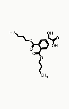 CCCCOC(=O)c1ccccc1C(=O)OCCCC.O=C(O)CO